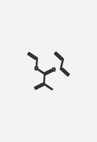 C=CC=C.C=COC(=O)C(=C)C